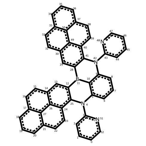 c1ccc(N2c3cccc4c3B(c3cc5ccc6cccc7ccc(c32)c5c67)c2cc3ccc5cccc6ccc(c2N4c2ccccn2)c3c56)nc1